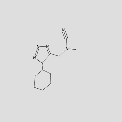 CN(C#N)Cc1nnnn1C1CCCCC1